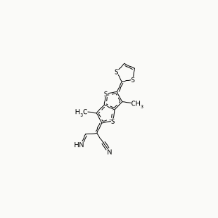 Cc1c(=C2SC=CS2)sc2c(C)/c(=C(/C#N)C=N)sc12